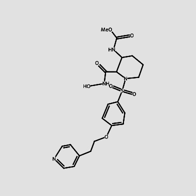 COC(=O)NC1CCCN(S(=O)(=O)c2ccc(OCCc3ccncc3)cc2)C1C(=O)NO